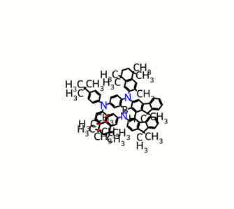 Cc1cc2c(cc1N1c3ccc(N(c4ccc(C(C)(C)C)cc4)c4ccc(C(C)(C)C)cc4)cc3B3c4c1cc1c(c4-c4c(ccc5c4-c4ccccc4C5(C)C)N3c3ccc4c(c3)C(C)(C)CCC4(C)C)C(C)(C)c3ccccc3-1)C(C)(C)CCC2(C)C